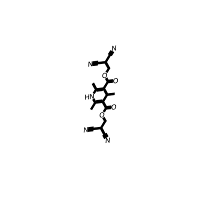 CC1=C(C(=O)OCC(C#N)C#N)C(C)C(C(=O)OCC(C#N)C#N)=C(C)N1